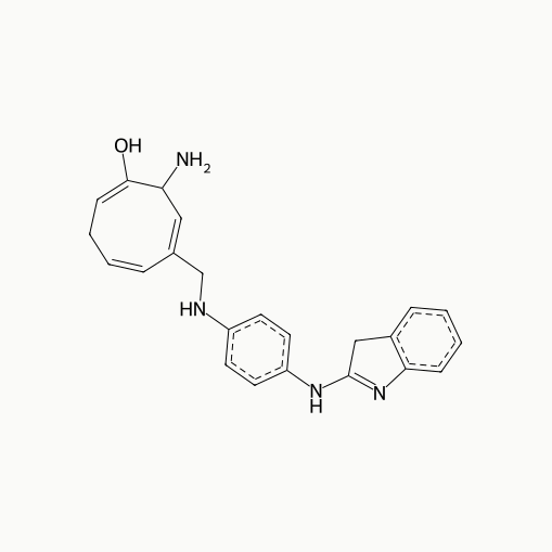 NC1C=C(CNc2ccc(NC3=Nc4ccccc4C3)cc2)/C=C\C/C=C\1O